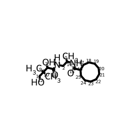 CC(CNC(=O)C(O)C(C)(C)CO)NC(=O)C1CCCCCCCCC1